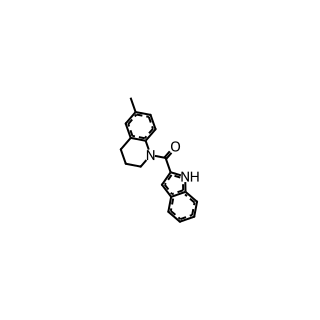 Cc1ccc2c(c1)CCCN2C(=O)c1cc2ccccc2[nH]1